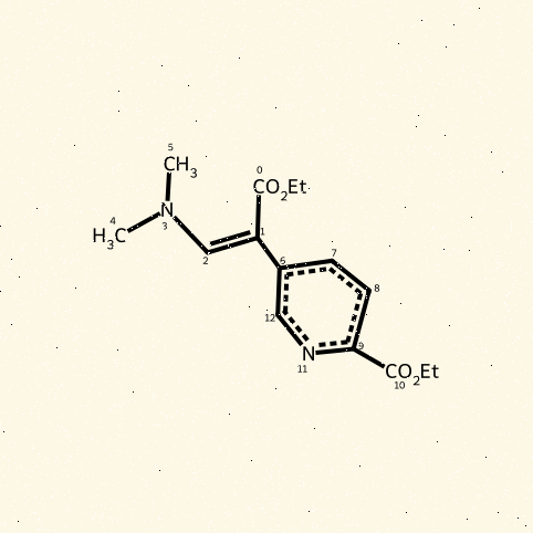 CCOC(=O)C(=CN(C)C)c1ccc(C(=O)OCC)nc1